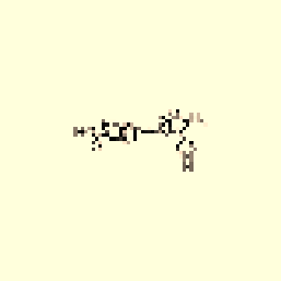 CCC(C1CCNCC1)N1CC(COc2ccc(CC(N)C(=O)O)cc2)OC1=O